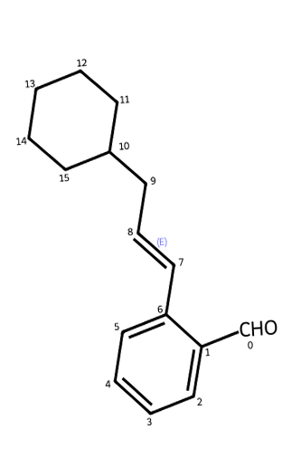 O=Cc1ccccc1/C=C/CC1CCCCC1